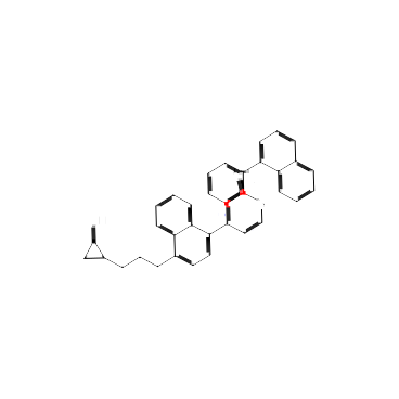 C=C/C=C(\C=C/Nc1ccccc1-c1cccc2ccccc12)c1ccc(CCCC2CC2=C)c2ccccc12